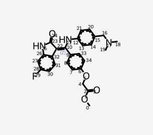 COC(=O)COc1ccc(/C(Nc2ccc(CN(C)C)cc2)=C2/C(=O)Nc3cc(F)ccc32)cc1